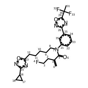 C=C(CCF)C(=O)N(CCCCCc1nc(C2CC2)no1)c1cccc(-c2noc(C(C)(F)F)n2)c1